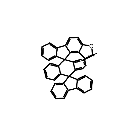 c1ccc2c(c1)-c1ccccc1C21c2ccccc2C2(c3ccccc3-c3ccc4oc5ccccc5c4c32)c2ccccc21